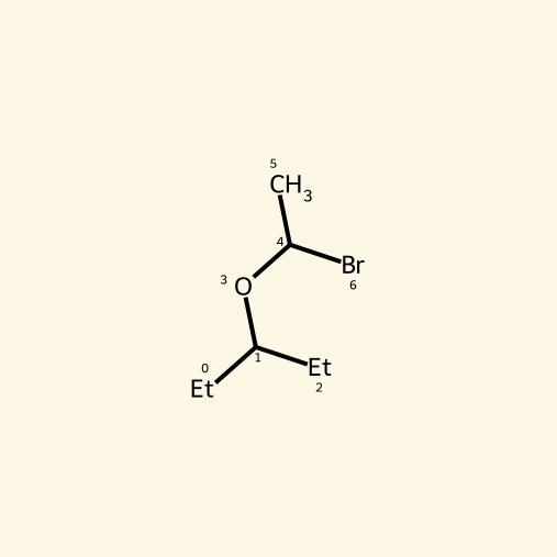 CCC(CC)OC(C)Br